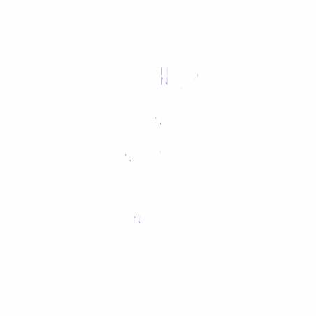 O=C1Nc2ccccc2N(C(=O)CN2CCCC(CN3CCCC3)C2)c2ccccc21